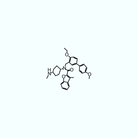 CCOc1ccc(-c2ccc(OC)cc2)cc1CN(C(=O)c1oc2ccccc2c1C)[C@H]1CC[C@@H](NC)CC1